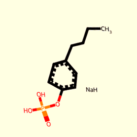 CCCCc1ccc(OP(=O)(O)O)cc1.[NaH]